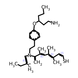 C=C(/C(C)=C/C(C)=C(C)/C=C\S)N(/C=C(\C)CC)CCc1ccc(OC(CCC)CCN)cc1